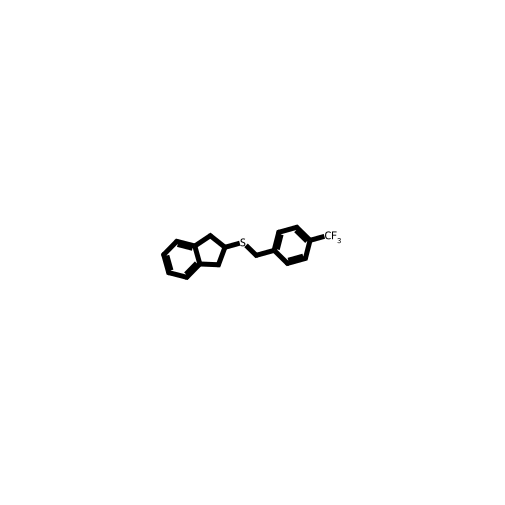 FC(F)(F)c1ccc(CSC2Cc3ccccc3C2)cc1